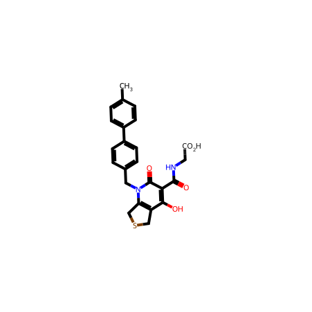 Cc1ccc(-c2ccc(Cn3c4c(c(O)c(C(=O)NCC(=O)O)c3=O)CSC4)cc2)cc1